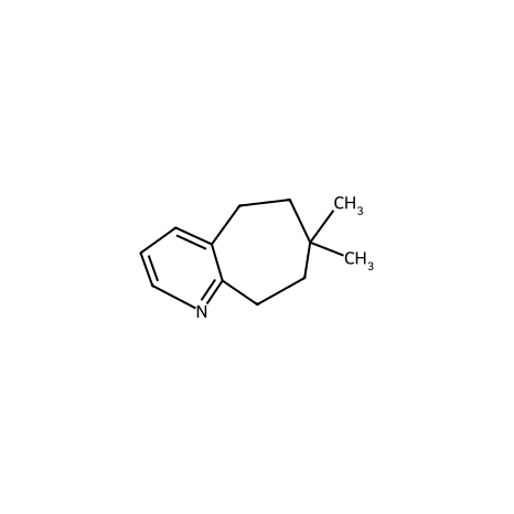 CC1(C)CCc2cccnc2CC1